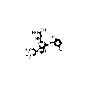 CCC(CC)n1cnc2c(NCc3cc(Cl)ccc3O)nc(NCC(C)O)nc21